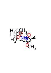 CCC(Cc1nc(OC)c(C2CC2)cc1OC)NC(=O)OC(C)(C)C